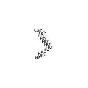 [Cu+2].[Fe+2].[Mn+2].[Ni+2].[OH-].[OH-].[OH-].[OH-].[OH-].[OH-].[OH-].[OH-]